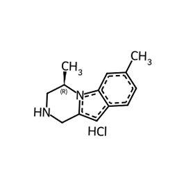 Cc1ccc2cc3n(c2c1)[C@H](C)CNC3.Cl